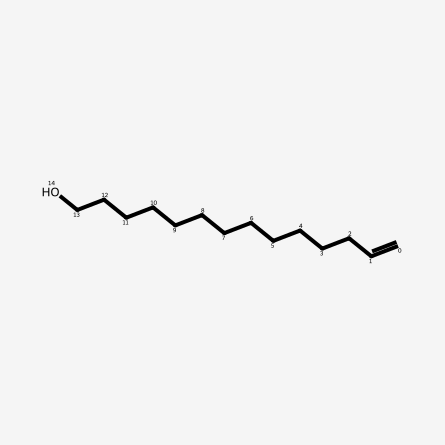 C=CCCCCCCCCCCCCO